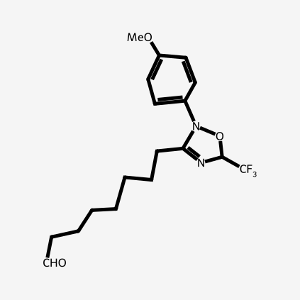 COc1ccc(N2OC(C(F)(F)F)N=C2CCCCCCCC=O)cc1